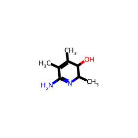 CC1=C(C)C(O)C(C)N=C1N